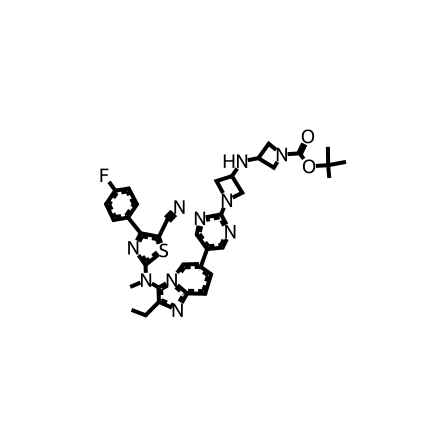 CCc1nc2ccc(-c3cnc(N4CC(NC5CN(C(=O)OC(C)(C)C)C5)C4)nc3)cn2c1N(C)c1nc(-c2ccc(F)cc2)c(C#N)s1